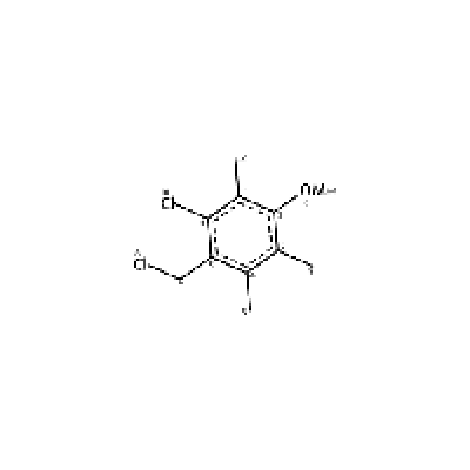 COc1c(C)c(C)c(CCl)c(Cl)c1C